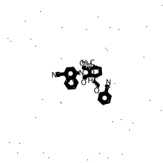 C[C@@]12CC[C@@](CCOc3ccccc3C#N)(O1)[C@H]1C(=O)N(c3ccc(C#N)c4ccccc34)C(=O)[C@H]12